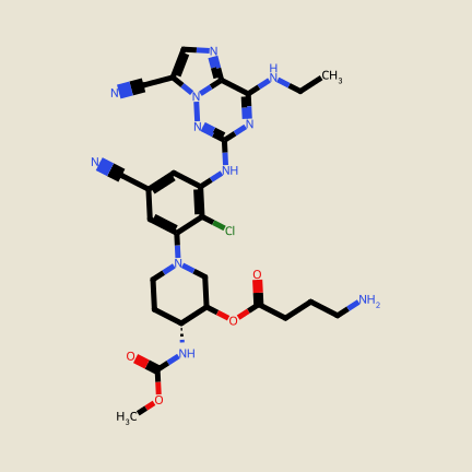 CCNc1nc(Nc2cc(C#N)cc(N3CC[C@@H](NC(=O)OC)C(OC(=O)CCCN)C3)c2Cl)nn2c(C#N)cnc12